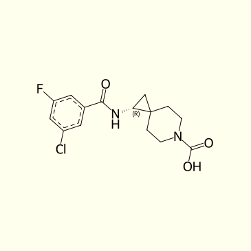 O=C(N[C@@H]1CC12CCN(C(=O)O)CC2)c1cc(F)cc(Cl)c1